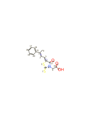 C/C(=C\C=C1/SC(=S)N(CC(=O)O)C1=O)c1ccccc1